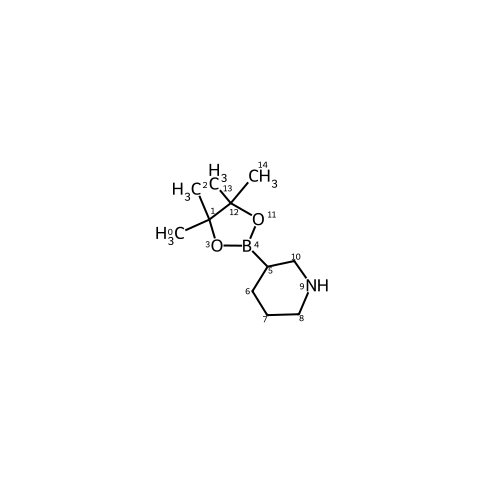 CC1(C)OB(C2CCCNC2)OC1(C)C